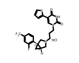 Cl.O=c1[nH]c(=O)n(CCCN2C[C@@H]3C[C@]3(c3ccc(C(F)(F)F)cc3F)C2)cc1-c1cccs1